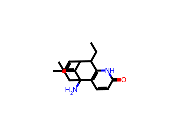 C/C=C1\C2C=C(C)CC1(N)c1ccc(=O)[nH]c1C2CC